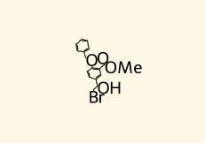 COC(=O)c1cc(C(O)CBr)ccc1OCc1ccccc1